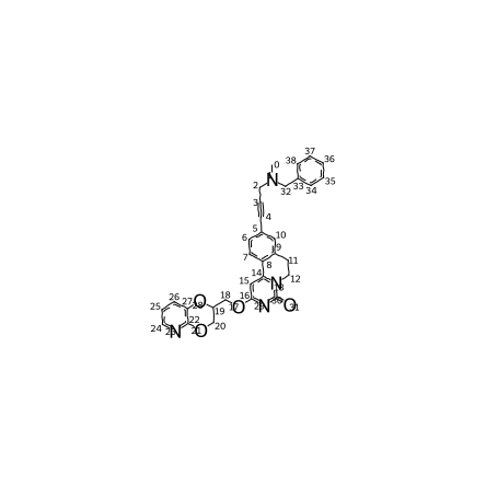 CN(CC#Cc1ccc2c(c1)CCn1c-2cc(OCC2COc3ncccc3O2)nc1=O)Cc1ccccc1